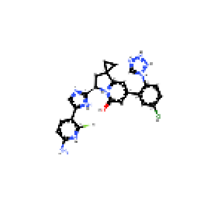 Nc1ccc(-c2cnc([C@H]3CC4(CC4)c4cc(-c5cc(Cl)ccc5-n5cnnn5)cc(=O)n43)[nH]2)c(F)n1